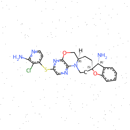 Nc1nccc(Sc2cnc3c(n2)OC[C@H]2CC[C@@]4(CCN32)Oc2ccccc2[C@H]4N)c1Cl